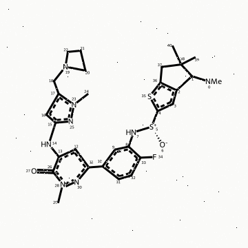 CNC1c2cc([S@+]([O-])Nc3cc(-c4cc(Nc5cc(CN6CCC6)n(C)n5)c(=O)n(C)n4)ccc3F)sc2CC1(C)C